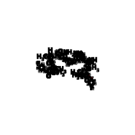 C[C@@H]1CN(CC(=O)N2CC(C)(C)c3[nH]c(=O)c(Cc4ccc(F)cc4)cc32)[C@@H](CN2CCOC(C(N)=O)C2CCCN2CCN(CCCC3C(C(N)=O)OCCN3C[C@H]3CN[C@H](C)CN3CC(=O)N3CC(C)(C)c4[nH]c(=O)c(Cc5ccc(F)cc5)cc43)CC2)CN1